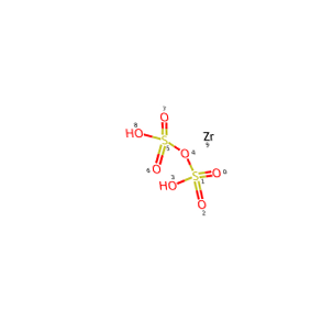 O=S(=O)(O)OS(=O)(=O)O.[Zr]